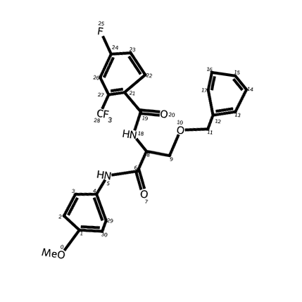 COc1ccc(NC(=O)C(COCc2ccccc2)NC(=O)c2ccc(F)cc2C(F)(F)F)cc1